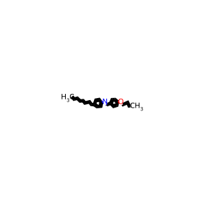 CCCCCCCCc1ccc(N=Cc2ccc(OCCCC)cc2)cc1